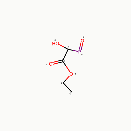 CCOC(=O)C(O)P=O